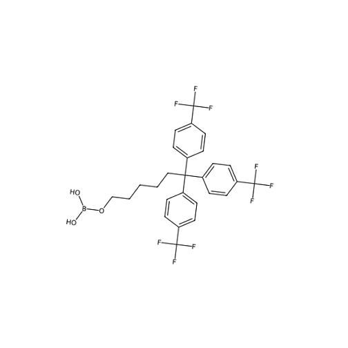 OB(O)OCCCCCC(c1ccc(C(F)(F)F)cc1)(c1ccc(C(F)(F)F)cc1)c1ccc(C(F)(F)F)cc1